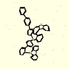 c1ccc(-c2ccc(-c3ccc(N(c4ccc(-c5ccccc5-n5c6ccccc6c6ccccc65)cc4)c4ccccc4-c4cccc5oc6ccccc6c45)cc3)cc2)cc1